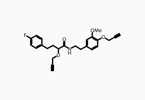 C#CCOc1ccc(CCNC(=O)C(CCc2ccc(F)cc2)OCC#C)cc1OC